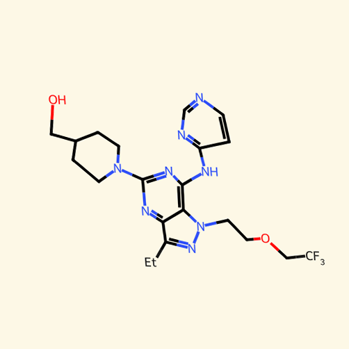 CCc1nn(CCOCC(F)(F)F)c2c(Nc3ccncn3)nc(N3CCC(CO)CC3)nc12